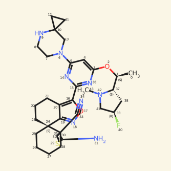 C[C@H](Oc1cc(N2CCNC3(CC3)C2)nc(-c2onc3c2CCC[C@@]32CCCc3sc(N)c(C#N)c32)n1)[C@@H]1C[C@@H](F)CN1C